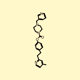 Cc1ccnc(CCc2ccc(OC(=O)N3CCN(Cc4cccnc4)CC3)cc2)c1